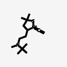 C=C=[N+]1SC(C)(C)CC1CCN(C)C(C)(C)C